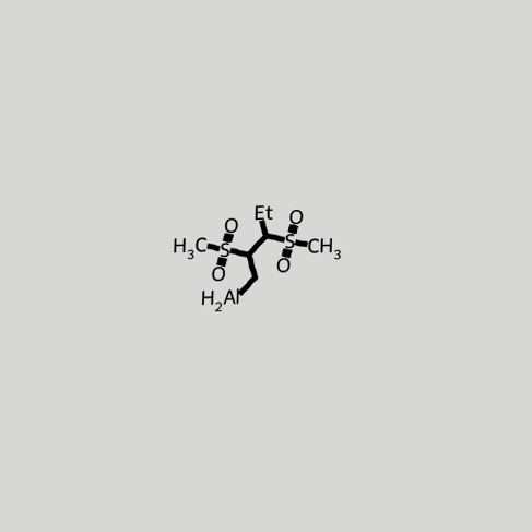 CCC(C([CH2][AlH2])S(C)(=O)=O)S(C)(=O)=O